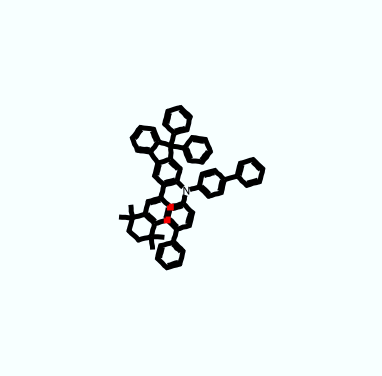 Cc1cc2c(cc1-c1cc3c(cc1N(c1ccc(-c4ccccc4)cc1)c1ccc(-c4ccccc4)cc1)C(c1ccccc1)(c1ccccc1)c1ccccc1-3)C(C)(C)CCC2(C)C